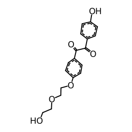 O=C(C(=O)c1ccc(OCCOCCO)cc1)c1ccc(O)cc1